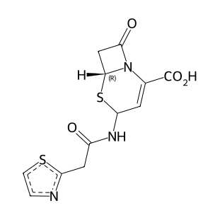 O=C(Cc1nccs1)NC1C=C(C(=O)O)N2C(=O)C[C@H]2S1